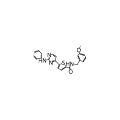 COc1cccc(CNC(=O)c2ccc(-c3ccnc(Nc4ccccc4)n3)s2)c1